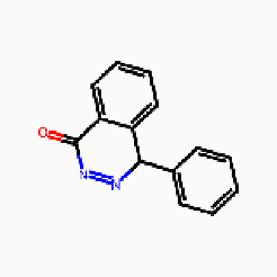 O=C1N=NC(c2ccccc2)c2ccccc21